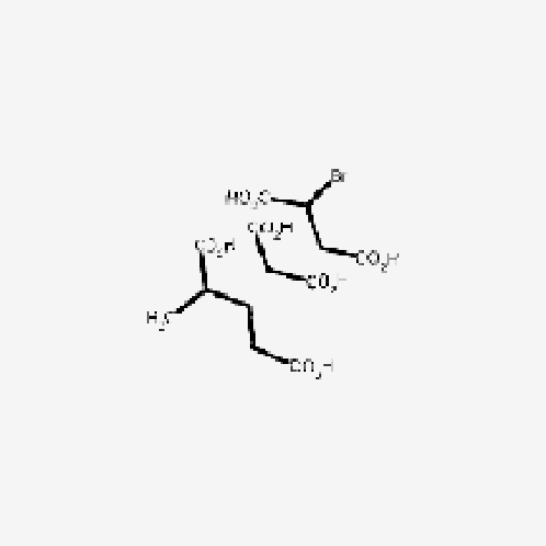 CC(CCC(=O)O)C(=O)O.O=C(O)CC(=O)O.O=C(O)CC(Br)C(=O)O